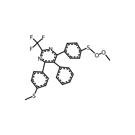 COOSc1ccc(-c2nc(C(F)(F)F)nc(-c3ccc(SC)cc3)c2-c2ccccc2)cc1